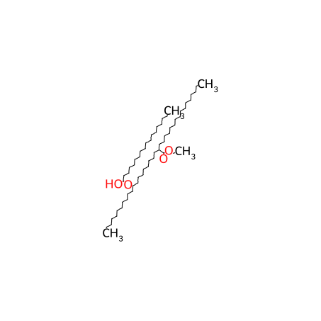 CCCCCCCCCCCCCCCCCC(=O)O.CCCCCCCCCCCCCCCCCCCCC(CCCCCCCCCCCCCCCC)C(=O)OCC